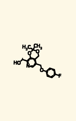 CC1(C)OCc2c(COc3ccc(F)cc3)cnc([CH]O)c2O1